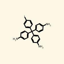 Nc1ccc(C(c2ccc(N)cc2)(c2ccc(N)cc2)c2ccc(I)cc2)cc1